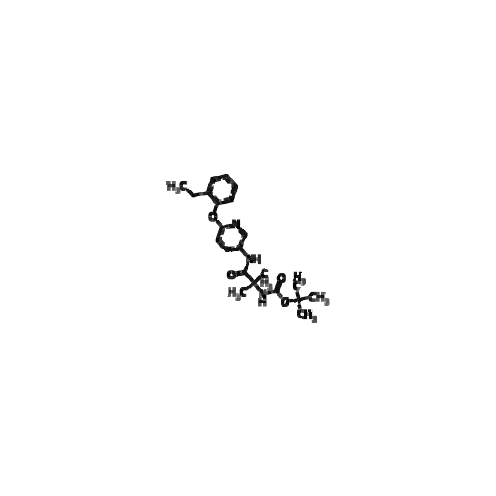 CCc1ccccc1Oc1ccc(NC(=O)C(C)(C)NC(=O)OC(C)(C)C)cn1